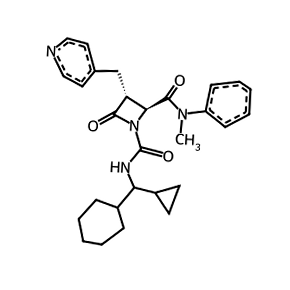 CN(C(=O)[C@@H]1[C@@H](Cc2ccncc2)C(=O)N1C(=O)NC(C1CCCCC1)C1CC1)c1ccccc1